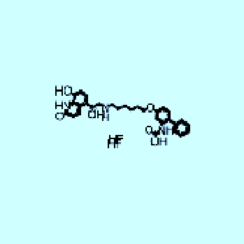 F.F.O=C(O)Nc1cc(OCCCCCCNC[C@H](O)c2ccc(O)c3[nH]c(=O)ccc23)ccc1-c1ccccc1